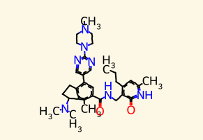 CCCc1cc(C)[nH]c(=O)c1CNC(=O)c1cc(-c2cnc(N3CCN(C)CC3)nc2)c2c(c1C)C(N(C)C)CC2